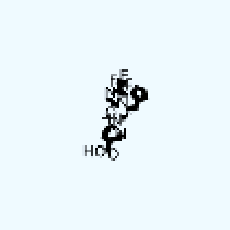 O=C(O)c1ccc(NC[C@H](CC2CCCC2)n2cc(C(F)(F)F)ncc2=O)nc1